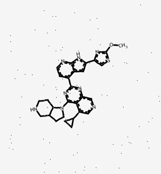 COc1nc(-c2cc3c(-c4nc(N5CCC6CNCCC65)c5c(C6CC6)cncc5n4)ccnc3[nH]2)cs1